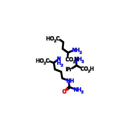 CC(C)C(N)C(=O)O.NC(=O)NCCCC(N)C(=O)O.NC(CCC(=O)O)C(=O)O